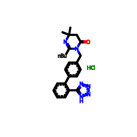 CCCCC1=NC(C)(C)CC(=O)N1Cc1ccc(-c2ccccc2-c2nnn[nH]2)cc1.Cl